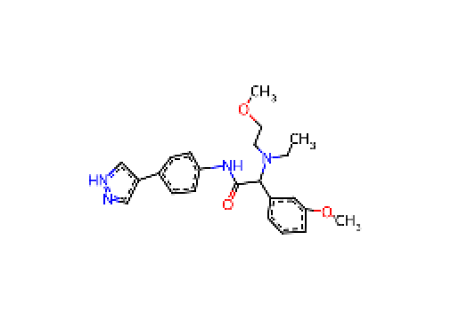 CCN(CCOC)C(C(=O)Nc1ccc(-c2cn[nH]c2)cc1)c1cccc(OC)c1